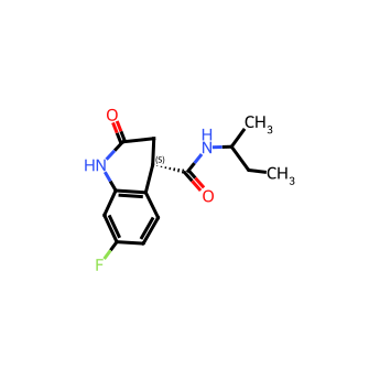 CCC(C)NC(=O)[C@H]1CC(=O)Nc2cc(F)ccc21